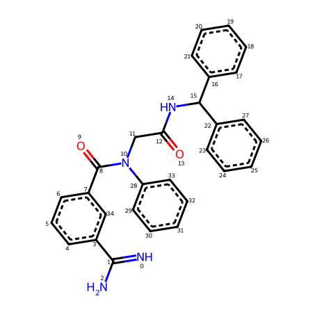 N=C(N)c1cccc(C(=O)N(CC(=O)NC(c2ccccc2)c2ccccc2)c2ccccc2)c1